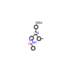 CSc1ccc(-c2nc(-c3cccc(C)c3)c(-c3ccnc(NC(=O)c4ccccc4)c3)s2)cc1